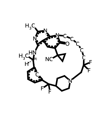 Cc1nc2c3cc(C4(C#N)CC4)c(=O)n(c3n1)CCCCCC(F)(F)CN1CCC(CC1)C(F)(F)c1cccc(c1)[C@@H](C)N2